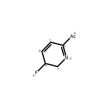 CC(=O)C1=NCC(F)C=C1